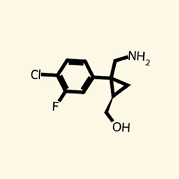 NCC1(c2ccc(Cl)c(F)c2)C[C@H]1CO